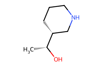 C[C@@H](O)[C@@H]1CCCNC1